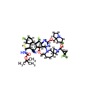 CC(C)(C)OC(=O)Nc1sc2c(F)ccc(-c3c(Cl)c4c5c(nc(OC[C@@]67CCCN6C[C@H](F)C7)nc5c3F)N3CC5(CCCC3CO4)CN(C(=O)C3CC3(F)F)C5)c2c1C#N